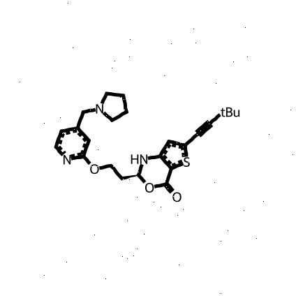 CC(C)(C)C#Cc1cc2c(s1)C(=O)O[C@@H](CCOc1cc(CN3CCCC3)ccn1)N2